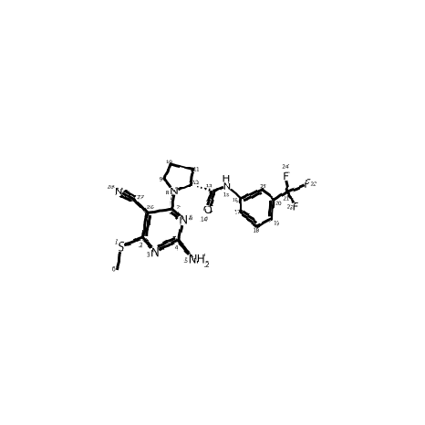 CSc1nc(N)nc(N2CCC[C@@H]2C(=O)Nc2cccc(C(F)(F)F)c2)c1C#N